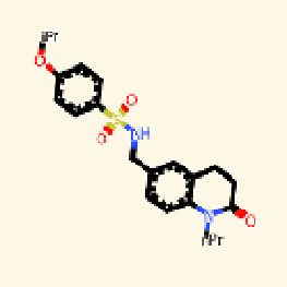 CCCN1C(=O)CCc2cc(CNS(=O)(=O)c3ccc(OC(C)C)cc3)ccc21